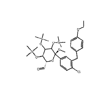 CCOc1ccc(Cc2cc([C@]3(OC)O[C@H](C=O)C(O[Si](C)(C)C)C(O[Si](C)(C)C)C3O[Si](C)(C)C)ccc2Cl)cc1